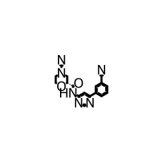 N#Cc1cccc(-c2cc(NC(=O)[C@H]3CN(C#N)CCO3)ncn2)c1